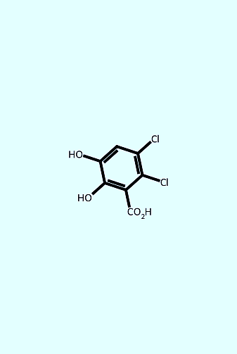 O=C(O)c1c(O)c(O)cc(Cl)c1Cl